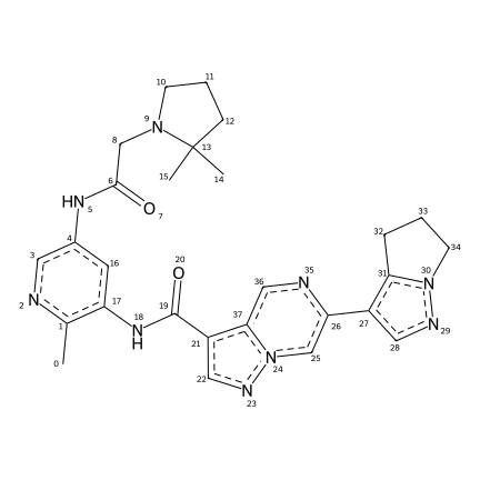 Cc1ncc(NC(=O)CN2CCCC2(C)C)cc1NC(=O)c1cnn2cc(-c3cnn4c3CCC4)ncc12